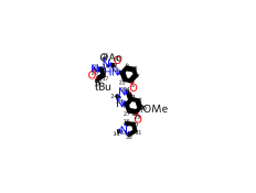 COc1cc2c(Oc3cccc(NC(=O)N(OC(C)=O)c4cc(C(C)(C)C)on4)c3)ncnc2cc1O[C@@H]1CCN(C)C1